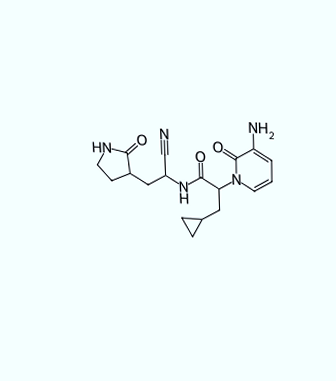 N#CC(CC1CCNC1=O)NC(=O)C(CC1CC1)n1cccc(N)c1=O